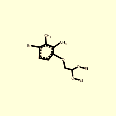 CCOC(COc1ccc(Br)c(C)c1C)OCC